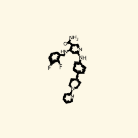 NC(=O)c1cnc(Nc2ccc(C3CCN(c4ccccn4)CC3)cc2)cc1NCc1cccc(F)c1F